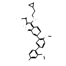 COc1cc(Br)ccc1-c1ccc(OC)c(-c2ccc3c(NCCC4CC4)c(C(N)=O)nnc3c2)c1